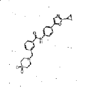 O=C(Nc1ccc(-c2cnc(C3CC3)o2)cc1)c1cccc(CN2CCS(=O)(=O)CC2)c1